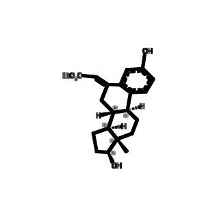 CCOC(=O)C=C1C[C@@H]2[C@H](CC[C@]3(C)[C@@H](O)CC[C@@H]23)c2ccc(O)cc21